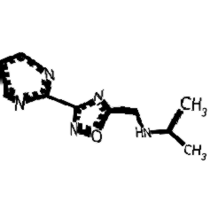 CC(C)NCc1nc(-c2ncccn2)no1